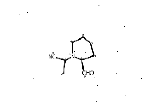 CC(C#N)N1CCCCC1C=O